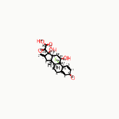 C=C1C[C@H]2[C@@H]3CCC4=CC(=O)C=C[C@]4(C)[C@@]3(F)C(O)C[C@]2(C)[C@@]1(O)C(=O)C(=O)O